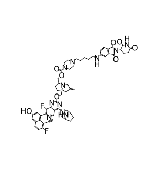 C#Cc1c(F)ccc2cc(O)cc(-c3ncc4c(N5CC6CCC(C5)N6)nc(OC[C@@]56CC[C@@H](COC(=O)N7CCN(CCCCCNc8ccc9c(c8)C(=O)N(C8CCC(=O)NC8=O)C9=O)CC7)N5CC(=C)C6)nc4c3F)c12